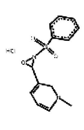 CN1C=CC=C(C2ON2S(=O)(=O)c2ccccc2)C1.Cl